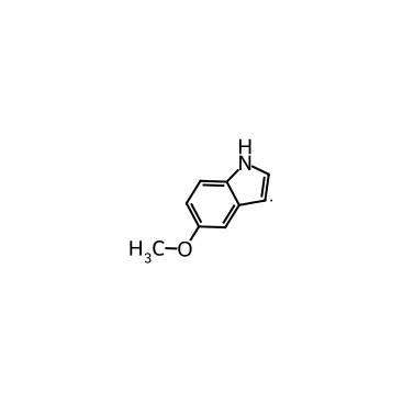 COc1ccc2[nH]c[c]c2c1